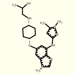 Cc1cc(Nc2cc(O[C@H]3CC[C@@H](NCC(O)C(F)(F)F)CC3)cc3c2ncn3C)nn1C